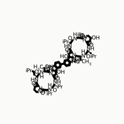 CC(C)CC[C@@H]1NC(=O)[C@H]2CCCNN2C(=O)C(C(C)C)NC(=O)[C@@H](C(C)C)NC(=O)[C@@H]2C[C@@]3(O)c4cc(-c5ccc6c(c5)[C@]5(O)C[C@H]7C(=O)N[C@H](C(C)C)C(=O)NC(C(C)C)C(=O)N8NC[C@H](O)C[C@@H]8C(=O)N[C@@H](CC(C)C)C(=O)N[C@H]([C@H](C)O)C(=O)N7[C@@H]5N6)ccc4N[C@H]3N2C(=O)[C@@H]([C@H](C)O)NC1=O